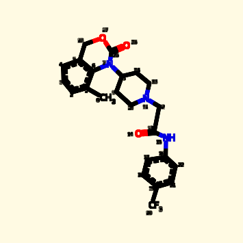 Cc1cccc2c1N(C1CCN(CC(=O)Nc3ccc(C(F)(F)F)cc3)CC1)C(=O)OC2